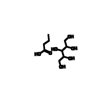 CCCC(=O)O.OCC(O)C(O)C(O)CO